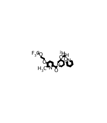 [2H]C1([2H])OC2CN(C(=O)c3ccc(OCCOC(F)(F)F)c(C)n3)CC[C@]2(c2ccccn2)O1